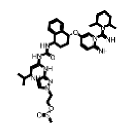 CC(C)C(=N)/C=C(/NC(=O)NC1CC[C@@H](Oc2ccc(=N)n(C(=N)N3C(C)CCCC3C)c2)c2ccccc21)Nc1ccn(CCOS(C)=O)n1